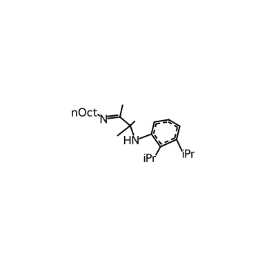 CCCCCCCCN=C(C)C(C)(C)Nc1cccc(C(C)C)c1C(C)C